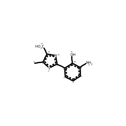 Cc1sc(-c2cccc(N)c2O)nc1C(=O)O